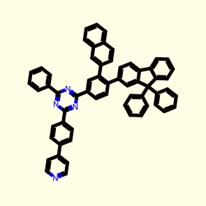 c1ccc(-c2nc(-c3ccc(-c4ccncc4)cc3)nc(-c3ccc(-c4ccc5c(c4)C(c4ccccc4)(c4ccccc4)c4ccccc4-5)c(-c4ccc5ccccc5c4)c3)n2)cc1